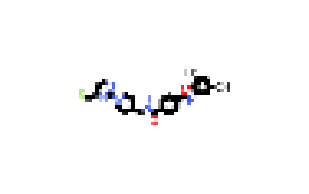 CC(C)c1cc(C#N)cc2nc(-c3ccc(C(=O)NCC4CCN(c5nccc(CF)n5)CC4)cc3)oc12